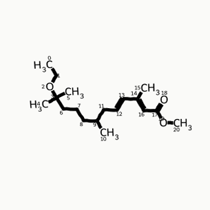 CCOC(C)(C)CCCC(C)CC=CC(C)=CC(=O)OC